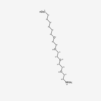 CCCCCCCCCCCCCCCCOCCOCCOCCOCCNC(C)=O